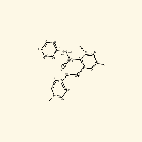 Cc1ccc(COc2cc(C)nc(C)c2C(=O)Nc2ccccc2)cc1